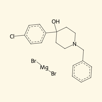 OC1(c2ccc(Cl)cc2)CCN(Cc2ccccc2)CC1.[Br][Mg][Br]